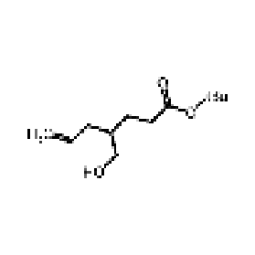 C=CCC(CO)CCC(=O)OC(C)(C)C